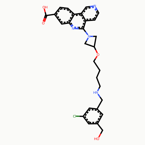 O=C(O)c1ccc2c(c1)nc(N1CC(OCCCCNCc3cc(Cl)cc(CO)c3)C1)c1ccncc12